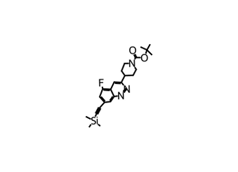 CC(C)(C)OC(=O)N1CCC(c2cc3c(F)cc(C#C[Si](C)(C)C)cc3nn2)CC1